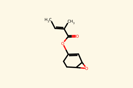 CC=C(C)C(=O)OC1=CC2OC2CC1